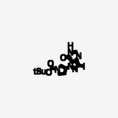 CC(C)(C)OC(=O)N1CCC(n2nc(I)c3nc[nH]c(=O)c32)C1